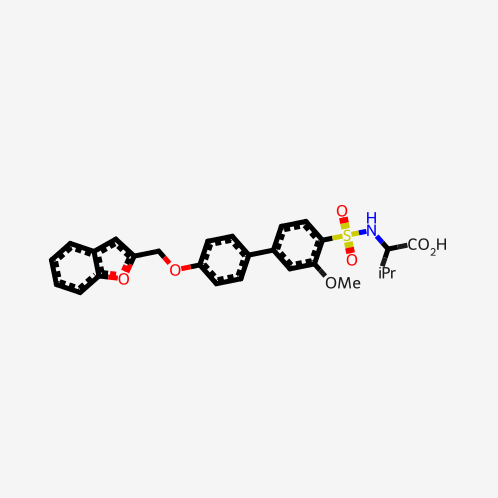 COc1cc(-c2ccc(OCc3cc4ccccc4o3)cc2)ccc1S(=O)(=O)NC(C(=O)O)C(C)C